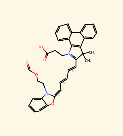 CC1(C)C(/C=C/C=C/C=C2/Oc3ccccc3N2CCOC=O)=[N+](CCC(=O)O)c2c1c1ccccc1c1ccccc21